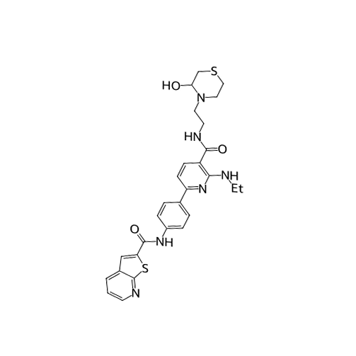 CCNc1nc(-c2ccc(NC(=O)c3cc4cccnc4s3)cc2)ccc1C(=O)NCCN1CCSCC1O